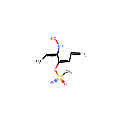 C=C/C=C(OS(C)(=N)=O)\C(=C/C)NO